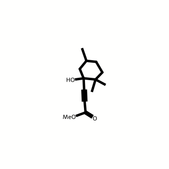 COC(=O)C#CC1(O)CC(C)CCC1(C)C